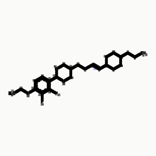 CCCC1CCC(/C=C/CCC2COC(c3ccc(OCC)c(F)c3F)OC2)CC1